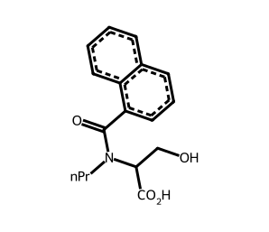 CCCN(C(=O)c1cccc2ccccc12)C(CO)C(=O)O